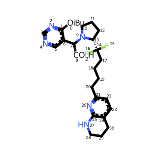 CC(C)COc1ncncc1C(C(=O)O)N1CCC[C@@H]1C(F)(F)CCCCc1ccc2c(n1)NCCC2